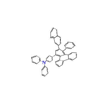 c1ccc(-c2c(-c3ccc4ccccc4c3)cc(-c3ccc(N(c4ccccc4)c4ccccc4)cc3)c3c4ccccc4c4ccccc4c23)cc1